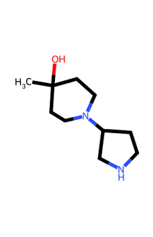 CC1(O)CCN(C2CCNC2)CC1